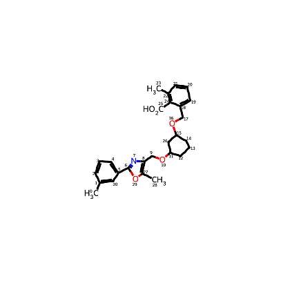 Cc1cccc(-c2nc(COC3CCCC(OCc4cccc(C)c4C(=O)O)C3)c(C)o2)c1